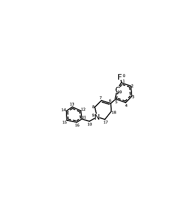 Fc1cccc(C2=CCN(Cc3ccccc3)CC2)c1